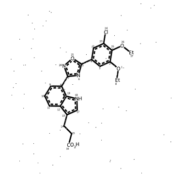 CCOc1cc(-c2nc(-c3cccc4c(CCC(=O)O)c[nH]c34)no2)cc(Cl)c1OCC